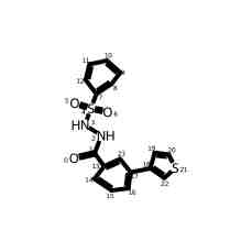 O=C(NNS(=O)(=O)c1ccccc1)c1cccc(-c2ccsc2)c1